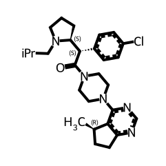 CC(C)CN1CCC[C@H]1[C@@H](C(=O)N1CCN(c2ncnc3c2[C@H](C)CC3)CC1)c1ccc(Cl)cc1